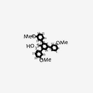 COc1cccc(-c2cc(-c3cccc(OC)c3)c(S(=O)(=O)O)c(-c3cccc(OC)c3)c2)c1